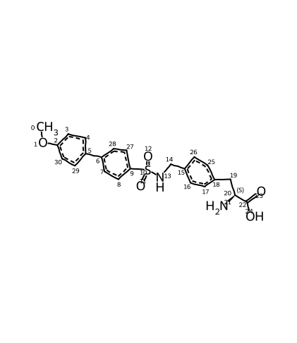 COc1ccc(-c2ccc(S(=O)(=O)NCc3ccc(C[C@H](N)C(=O)O)cc3)cc2)cc1